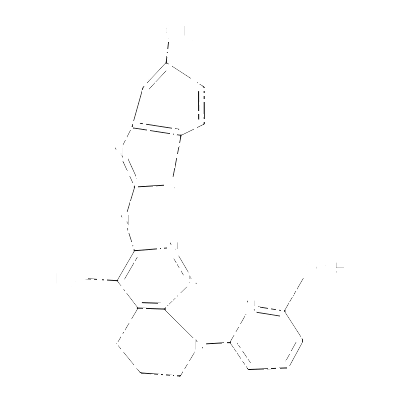 Cc1ccc2sc(Nc3nnc4c(c3C)CCCN4c3cccc(C(=O)O)n3)nc2c1